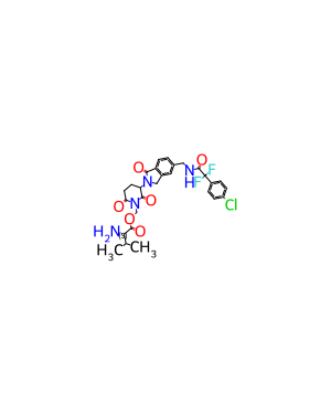 CC(C)[C@H](N)C(=O)OCN1C(=O)CCC(N2Cc3cc(CNC(=O)C(F)(F)c4ccc(Cl)cc4)ccc3C2=O)C1=O